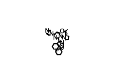 C[C@H](Oc1cc(-n2ccnc2)nc(-c2noc3c2CCC[C@@]32CCCCC2=O)n1)[C@@H]1CCCN1C